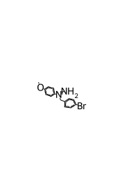 COc1ccc(N(N)Cc2ccc(Br)cc2)cc1